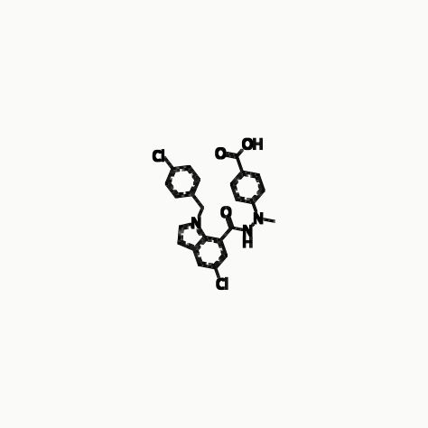 CN(NC(=O)c1cc(Cl)cc2ccn(Cc3ccc(Cl)cc3)c12)c1ccc(C(=O)O)cc1